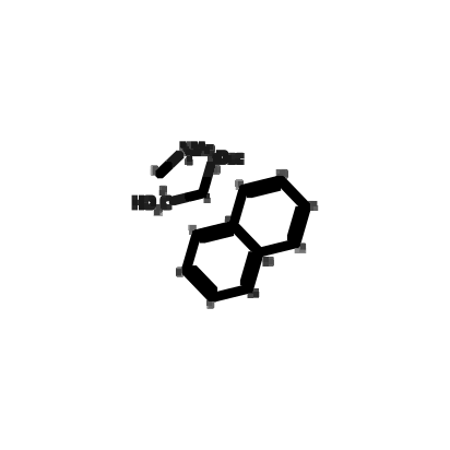 CCCCCCCCCCCC(=O)O.CNC.c1ccc2ccccc2c1